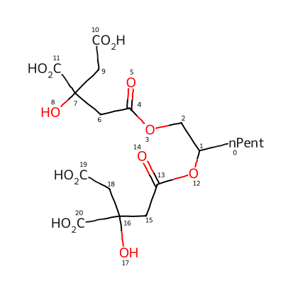 CCCCCC(COC(=O)CC(O)(CC(=O)O)C(=O)O)OC(=O)CC(O)(CC(=O)O)C(=O)O